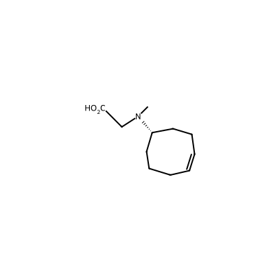 CN(CC(=O)O)[C@@H]1CC/C=C\CCC1